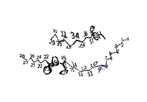 CCCCCCCC/C=C\CCCCCCCC(=O)OC(=O)CCCCCCC.CCCCCCCCCC(=O)O